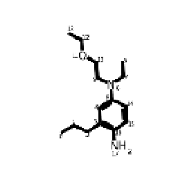 CCCc1cc(N(CC)CCOCC)ccc1N